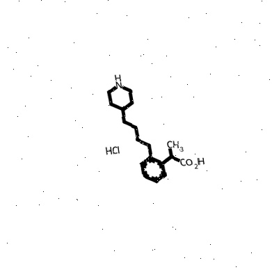 CC(C(=O)O)c1ccccc1CCCCC1CCNCC1.Cl